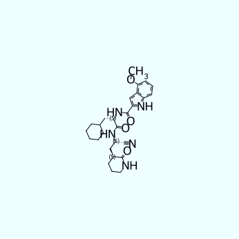 COc1cccc2[nH]c(C(=O)N[C@@H](CC3CCCCC3)C(=O)N[C@H](C#N)C[C@@H]3CCCNC3=O)cc12